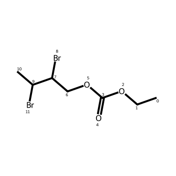 CCOC(=O)OCC(Br)C(C)Br